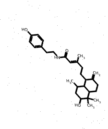 C=C1CCC2C(C(C)CC(O)C2(C)C)C1CCC(C)=CC(=O)NCCc1ccc(O)cc1